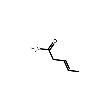 C/C=C/CC(N)=O